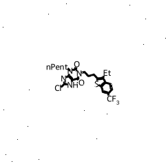 CCCCCn1c(=O)n(CCCc2sc3cc(C(F)(F)F)ccc3c2CC)c(=O)c2[nH]c(Cl)nc21